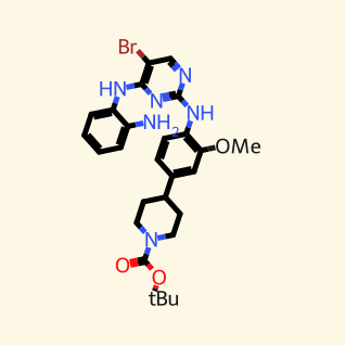 COc1cc(C2CCN(C(=O)OC(C)(C)C)CC2)ccc1Nc1ncc(Br)c(Nc2ccccc2N)n1